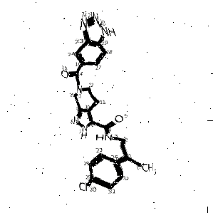 CC(CNC(=O)c1[nH]nc2c1CCN(C(=O)c1ccc3[nH]nnc3c1)C2)c1ccc(Cl)cc1